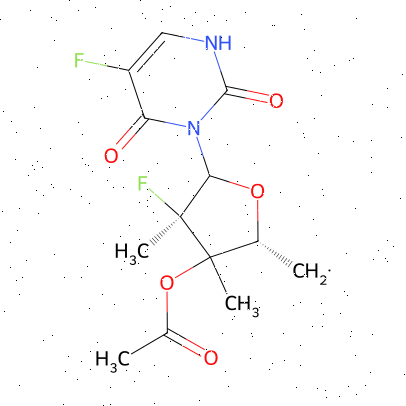 [CH2][C@H]1OC(n2c(=O)[nH]cc(F)c2=O)[C@](C)(F)C1(C)OC(C)=O